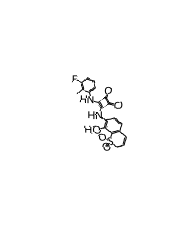 Cc1c(F)cccc1Nc1c(Nc2ccc3c(c2O)S(=O)(=O)CC=C3)c(=O)c1=O